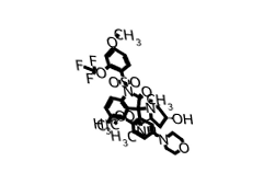 CNC(=O)[C@@H]1C[C@@H](O)C[N+]1(C)C1(c2cc(N3CCOCC3)ccc2OC)C(=O)N(S(=O)(=O)c2ccc(OC)cc2OC(F)(F)F)c2ccc(Cl)cc21